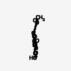 C=CC(=O)OCCCCCCOc1ccc(C(=O)Oc2ccc(OCC3CCC(CO)CC3)cc2)cc1